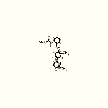 COC(=O)Nc1ccccc1COc1ccc(-c2ccc(F)c(C)n2)cc1C